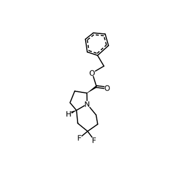 O=C(OCc1ccccc1)[C@@H]1CC[C@H]2CC(F)(F)CCN21